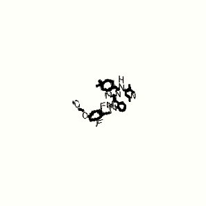 COCCOc1cc(F)c(Cn2nc(-c3nc4c(c(Nc5cc(C)ncc5C)n3)CCC(C)(C)C4)c3ccccc32)c(F)c1